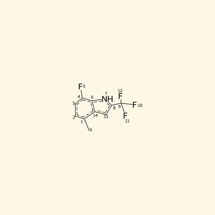 Cc1ccc(F)c2[nH]c(C(F)(F)F)cc12